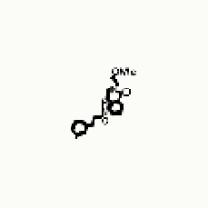 COCCn1ccc2c(NC(=O)CCc3cccc(C)c3)cccc2c1=O